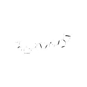 Cc1nc2cc(NC(=O)c3cc4sc(N5CC[C@@H](C(=O)N(C)C)C5)nc4s3)ccc2o1